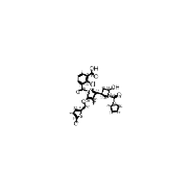 O=C(O)c1cccc(C(=O)n2nc(C3CC(O)N(C(=O)N4CCCC4)C3)c(F)c2OCc2ccc(Cl)s2)c1Cl